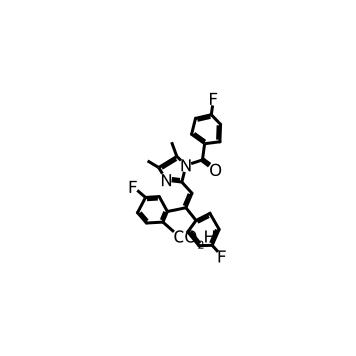 Cc1nc(C=C(c2ccc(F)cc2)c2cc(F)ccc2C(=O)O)n(C(=O)c2ccc(F)cc2)c1C